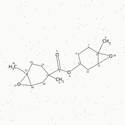 CC1(C(=O)OC2CCC3(C)OC3C2)CCC2(C)OC2C1